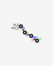 Cc1ccc2nc(-c3ccc4nc(-c5ccc(NC(=O)c6cccc(Cl)c6)cc5)sc4c3)sc2c1S(=O)(=O)O